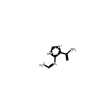 C=C(N)c1nc[nH]c1/N=C\N